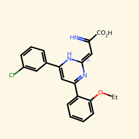 CCOc1ccccc1C1=N/C(=C/C(=N)C(=O)O)NC(c2cccc(Cl)c2)=C1